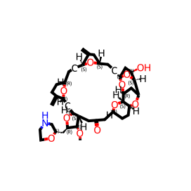 C=C1C[C@@H]2CC[C@]34C[C@@H](O)[C@H](O3)C3C[C@@H](O4)[C@H]4O[C@H](CC[C@@H]4O3)CC(=O)C[C@@H]3[C@@H](OC)[C@@H](C[C@H]4CNCCO4)O[C@H]3C[C@H]3O[C@H](CCC3=C)CC[C@@H]1O2